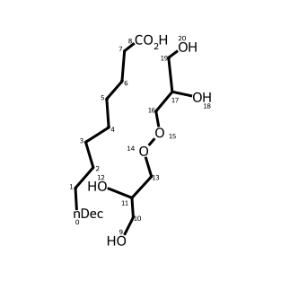 CCCCCCCCCCCCCCCCCC(=O)O.OCC(O)COOCC(O)CO